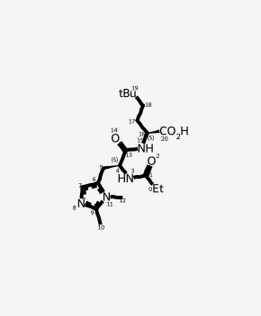 CCC(=O)N[C@@H](Cc1cnc(C)n1C)C(=O)N[C@@H](CCC(C)(C)C)C(=O)O